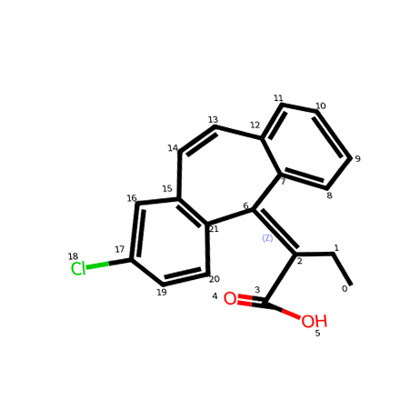 CC/C(C(=O)O)=C1\c2ccccc2C=Cc2cc(Cl)ccc21